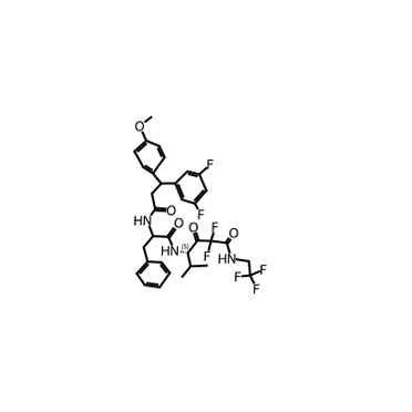 COc1ccc(C(CC(=O)NC(Cc2ccccc2)C(=O)N[C@H](C(=O)C(F)(F)C(=O)NCC(F)(F)F)C(C)C)c2cc(F)cc(F)c2)cc1